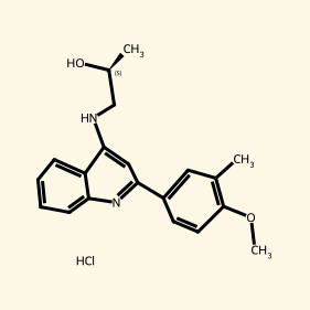 COc1ccc(-c2cc(NC[C@H](C)O)c3ccccc3n2)cc1C.Cl